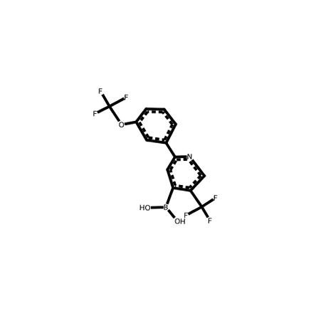 OB(O)c1cc(-c2cccc(OC(F)(F)F)c2)ncc1C(F)(F)F